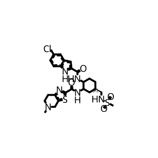 CN1CCc2nc(C(=O)NC3C[C@H](CNS(C)(=O)=O)CCC3NC(=O)c3cc4cc(Cl)ccc4[nH]3)sc2C1